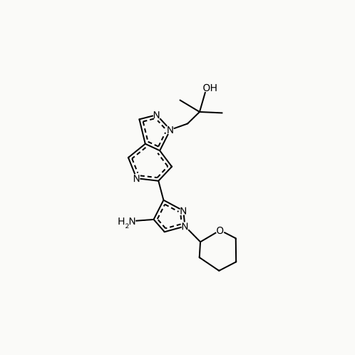 CC(C)(O)Cn1ncc2cnc(-c3nn(C4CCCCO4)cc3N)cc21